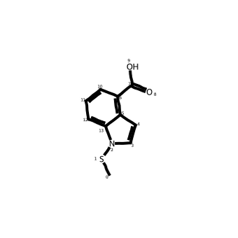 CSn1ccc2c(C(=O)O)cccc21